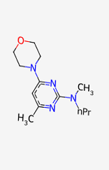 CCCN(C)c1nc(C)cc(N2CCOCC2)n1